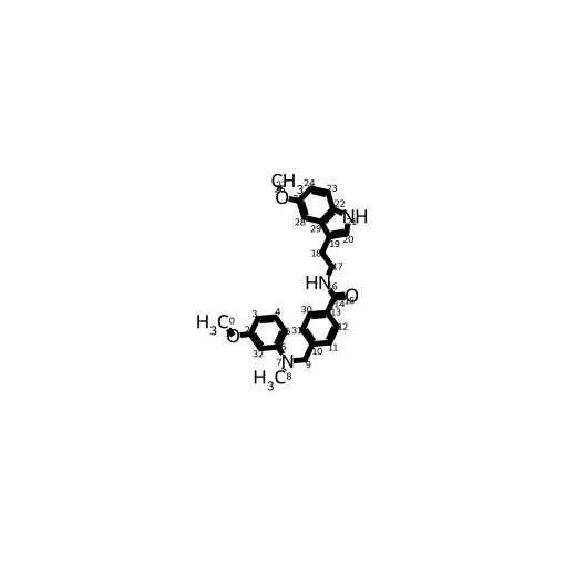 COc1cccc(N(C)Cc2ccc(C(=O)NCCc3c[nH]c4ccc(OC)cc34)cc2)c1